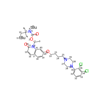 CC(OC(=O)N(C(C)(C)C)C(C)(C)CC(C)(C)C)n1c(=O)ccc2ccc(OCCCCN3CCN(c4cccc(Cl)c4Cl)CC3)cc21